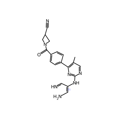 Cc1cnc(N/C(C=N)=C/N)nc1-c1ccc(C(=O)N2CC(C#N)C2)cc1